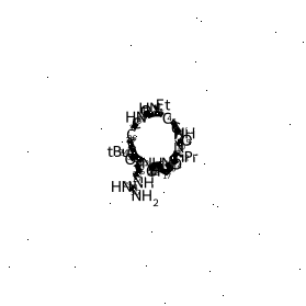 CCNC1CCCCNC(=O)N[C@@H](C(C)C)C(=O)N2CCC[C@H]2C(=O)N[C@@H](CCCNC(=N)N)C(=O)C(C(C)(C)C)CCCCNC1=O